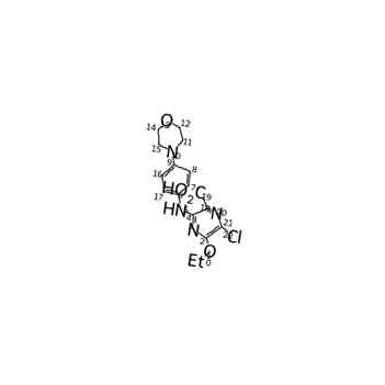 CCOc1nc(Nc2ccc(N3CCOCC3)cc2)c(C(=O)O)nc1Cl